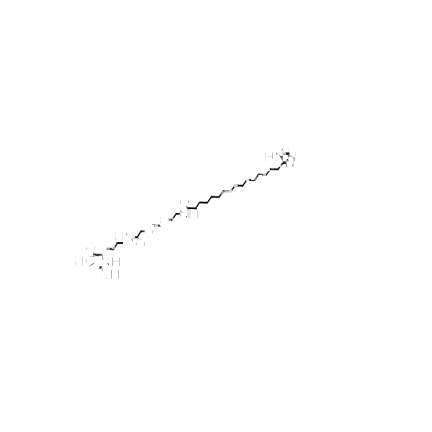 CC(=O)N[C@@H](CCCCNC(=O)COCCOCCNC(=O)CCCCCCCCCCCCCCCc1nnn[nH]1)C(=O)O